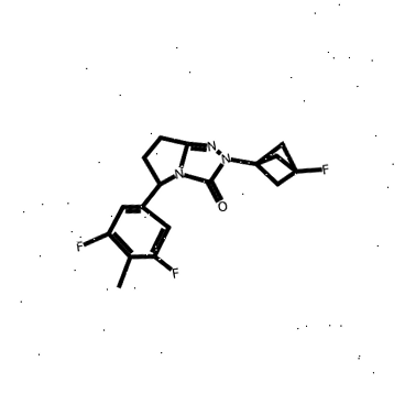 Cc1c(F)cc(C2CCc3nn(C45CC(F)(C4)C5)c(=O)n32)cc1F